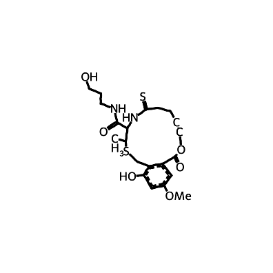 COc1cc(O)c2c(c1)C(=O)OCCCCC(=S)NC(C(=O)NCCCO)C(C)SC2